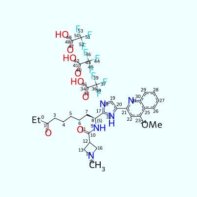 CCC(=O)CCCCC[C@H](NC(=O)C1CN(C)C1)c1ncc(-c2cc(OC)c3ccccc3n2)[nH]1.O=C(O)C(F)(F)F.O=C(O)C(F)(F)F.O=C(O)C(F)(F)F